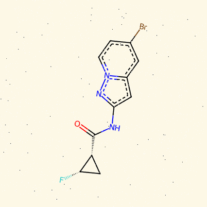 O=C(Nc1cc2cc(Br)ccn2n1)[C@@H]1C[C@@H]1F